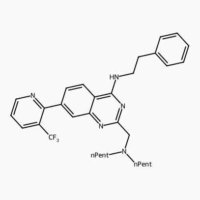 CCCCCN(CCCCC)Cc1nc(NCCc2ccccc2)c2ccc(-c3ncccc3C(F)(F)F)cc2n1